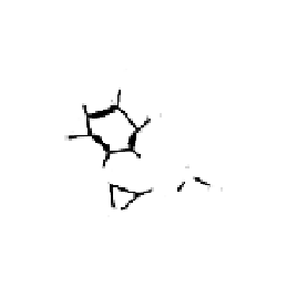 CC1CO1.OP(O)O.Oc1c(Cl)c(Cl)c(Cl)c(Cl)c1Cl